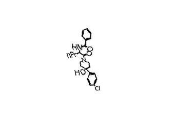 CCCC(NC(=O)c1ccccc1)C(=O)N1CCC(O)(c2ccc(Cl)cc2)CC1